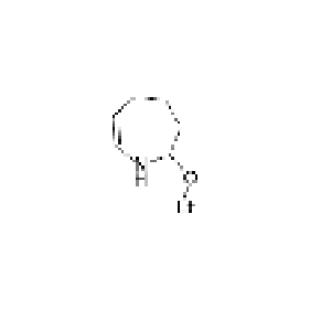 CCOC1CCCC=CN1